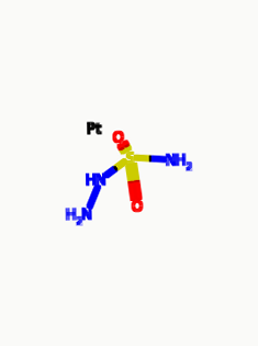 NNS(N)(=O)=O.[Pt]